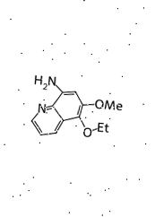 CCOc1c(OC)cc(N)c2ncccc12